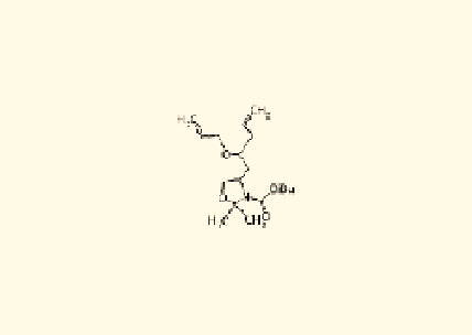 C=CCOC(CC=C)CC1COC(C)(C)N1C(=O)OCC(C)C